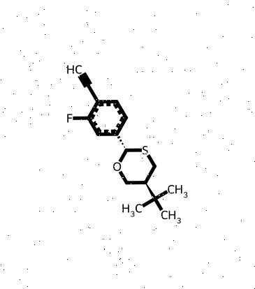 C#Cc1ccc([C@H]2OC[C@H](C(C)(C)C)CS2)cc1F